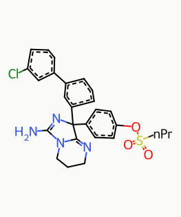 CCCS(=O)(=O)Oc1ccc(C2(c3cccc(-c4cccc(Cl)c4)c3)N=C(N)N3CCCN=C32)cc1